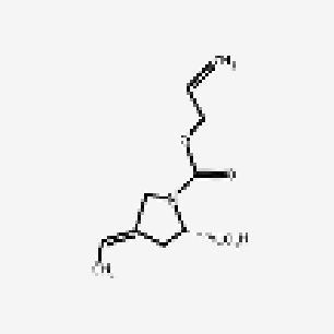 C=CCOC(=O)N1C/C(=C/C)C[C@H]1C(=O)O